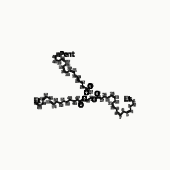 CC/C=C\C/C=C\C/C=C\C/C=C\C/C=C\CCCC(=O)O[C@@H](COC(=O)CCCCC/C=C\C/C=C\C/C=C\C/C=C\CCCCC)COC(=O)CCCCCCC/C=C\C/C=C\C/C=C\CC